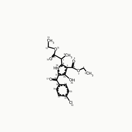 CCOC(=O)c1c(C(C)C(=O)OCC)[nH]c(C(=O)c2ccc(Cl)cc2)c1O